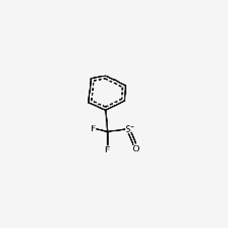 O=[S+]C(F)(F)c1cc[c]cc1